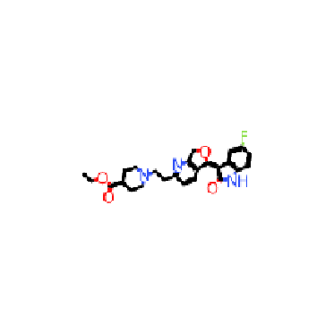 CCOC(=O)C1CCN(CCc2ccc3c(n2)COC3=C2C(=O)Nc3ccc(F)cc32)CC1